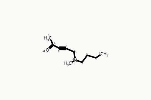 CCCCN(C)CC#CC(C)=O